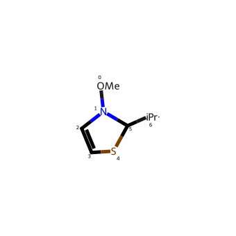 CON1C=CSC1[C](C)C